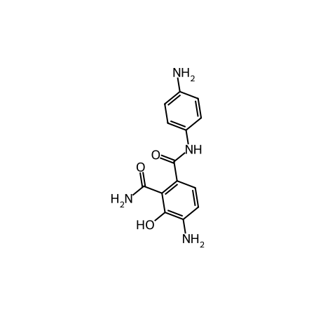 NC(=O)c1c(C(=O)Nc2ccc(N)cc2)ccc(N)c1O